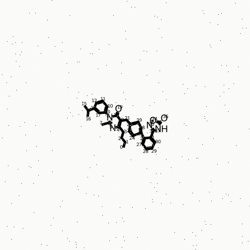 CCCCc1nc(C)n(-c2cccc(C(C)C)c2)c(=O)c1Cc1ccc(-c2ccccc2-c2noc(=O)[nH]2)cc1